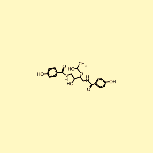 CC(O)OC(CNC(=O)c1ccc(O)cc1)C(O)CNC(=O)c1ccc(O)cc1